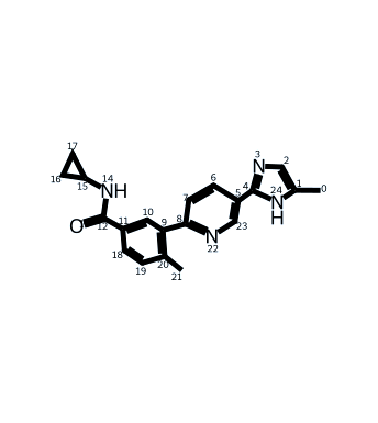 Cc1cnc(-c2ccc(-c3cc(C(=O)NC4CC4)ccc3C)nc2)[nH]1